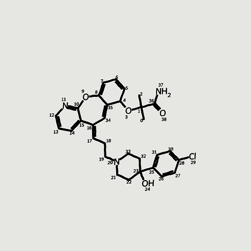 CC(C)(OC1C=CC=C2Oc3ncccc3C(=CCCN3CCC(O)(c4ccc(Cl)cc4)CC3)C=C21)C(N)=O